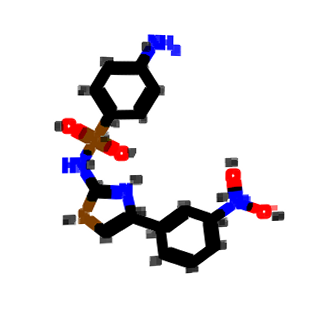 Nc1ccc(S(=O)(=O)Nc2nc(-c3cccc([N+](=O)[O-])c3)cs2)cc1